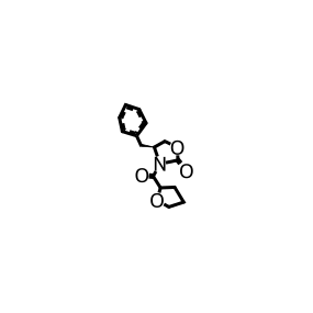 O=C1OC[C@H](Cc2ccccc2)N1C(=O)C1CCCO1